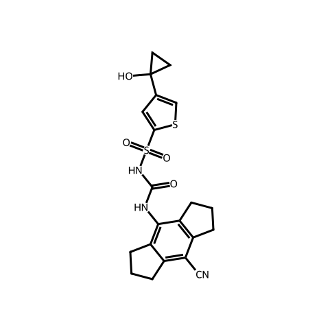 N#Cc1c2c(c(NC(=O)NS(=O)(=O)c3cc(C4(O)CC4)cs3)c3c1CCC3)CCC2